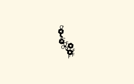 COc1ccc(CC[N+]23CCC(CC2)C(OC(=O)N(Cc2cc(F)c(F)c(F)c2)c2ccccc2F)C3)cc1